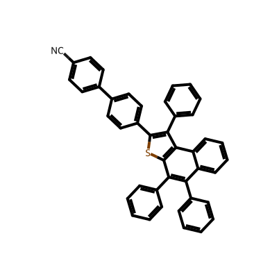 N#Cc1ccc(-c2ccc(-c3sc4c(-c5ccccc5)c(-c5ccccc5)c5ccccc5c4c3-c3ccccc3)cc2)cc1